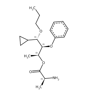 CCCO[C@@H](C1CC1)[C@@H](Oc1ccccc1)[C@H](C)OC(=O)[C@H](C)N